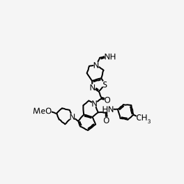 COC1CCN(c2cccc3c2CCN(C(=O)c2nc4c(s2)CN(C=N)CC4)C3C(=O)Nc2ccc(C)cc2)CC1